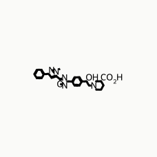 Cn1nc(-c2ccccc2)cc1-c1nc(-c2ccc(C(O)CN3CCC[C@H](C(=O)O)C3)cc2)no1